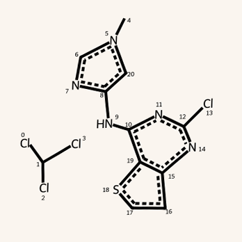 ClC(Cl)Cl.Cn1cnc(Nc2nc(Cl)nc3ccsc23)c1